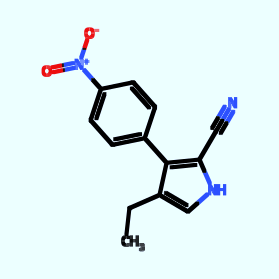 CCc1c[nH]c(C#N)c1-c1ccc([N+](=O)[O-])cc1